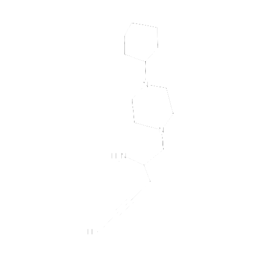 CC#CCC(N)CN1CCN(C2CCCCC2)CC1